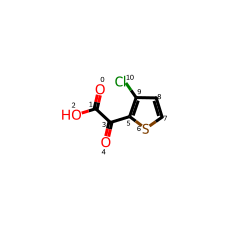 O=C(O)C(=O)c1sccc1Cl